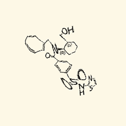 O=C(c1ccc(S(=O)(=O)Nc2nccs2)cc1)N(Cc1ccccc1)[C@@H]1CCCC[C@@H]1CO